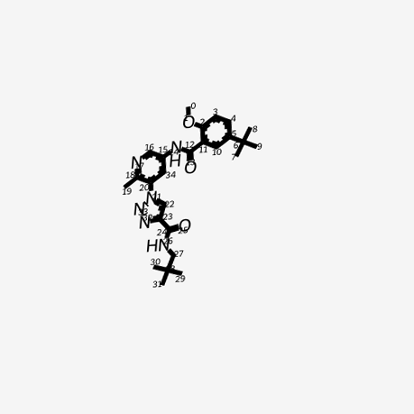 COc1ccc(C(C)(C)C)cc1C(=O)Nc1cnc(C)c(-n2cc(C(=O)NCC(C)(C)C)nn2)c1